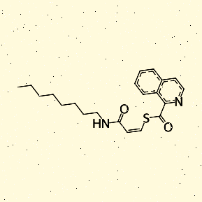 CCCCCCCCNC(=O)/C=C\SC(=O)c1nccc2ccccc12